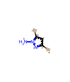 Nn1nc(Br)cc1Br